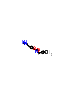 Cc1ccc(C2CC2c2nc(COc3ccc(CCCCn4ccnn4)cc3)co2)cc1